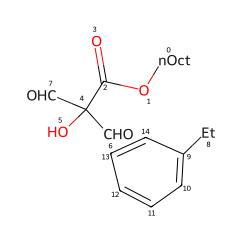 CCCCCCCCOC(=O)C(O)(C=O)C=O.CCc1ccccc1